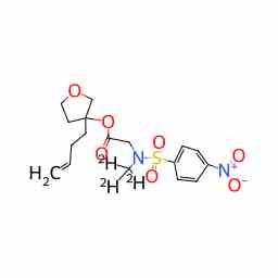 [2H]C([2H])([2H])N(CC(=O)OC1(CCC=C)CCOC1)S(=O)(=O)c1ccc([N+](=O)[O-])cc1